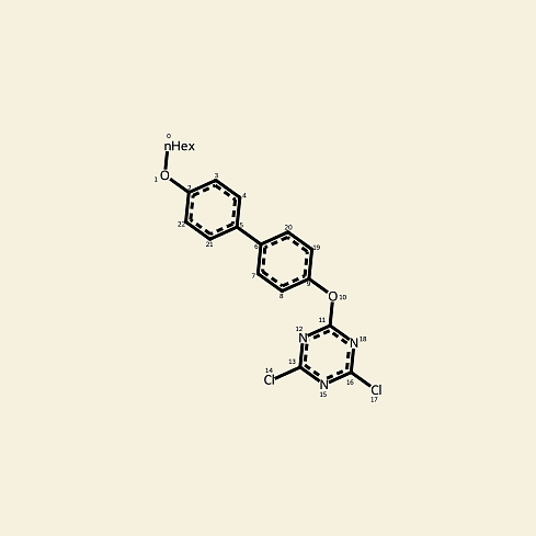 CCCCCCOc1ccc(-c2ccc(Oc3nc(Cl)nc(Cl)n3)cc2)cc1